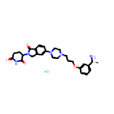 C[C@@H](N)c1cccc(OCCCN2CCN(c3ccc4c(c3)CN(C3CCC(=O)NC3=O)C4=O)CC2)c1.Cl